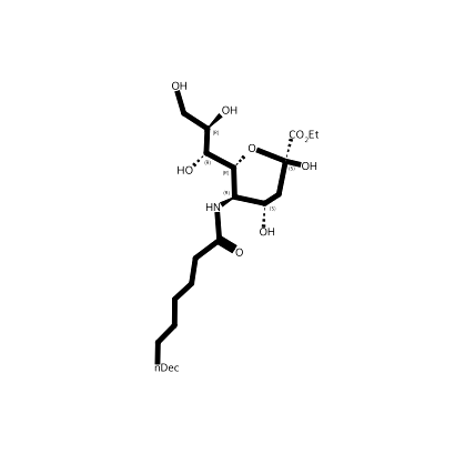 CCCCCCCCCCCCCCCC(=O)N[C@H]1[C@H]([C@H](O)[C@H](O)CO)O[C@](O)(C(=O)OCC)C[C@@H]1O